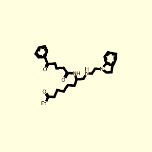 CCC(=O)CCCCCC(CNCCN1CCc2ccccc21)NC(=O)CCCC(=O)c1ccccc1